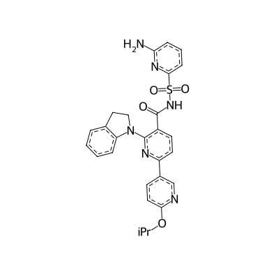 CC(C)Oc1ccc(-c2ccc(C(=O)NS(=O)(=O)c3cccc(N)n3)c(N3CCc4ccccc43)n2)cn1